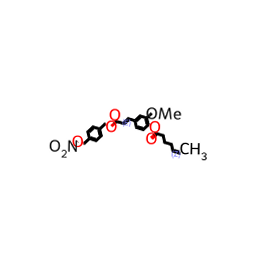 C/C=C\CCCC(=O)Oc1ccc(/C=C/C(=O)OCc2ccc(CO[N+](=O)[O-])cc2)cc1OC